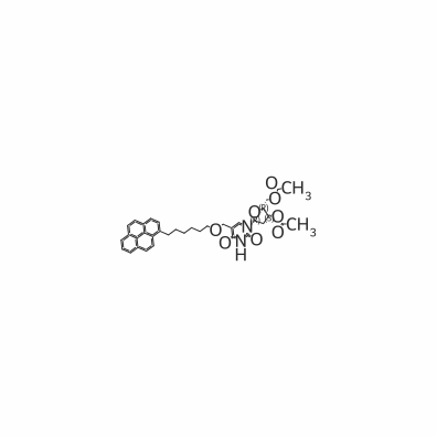 CC(=O)OC[C@H]1O[C@@H](n2cc(COCCCCCCc3ccc4ccc5cccc6ccc3c4c56)c(=O)[nH]c2=O)C[C@@H]1OC(C)=O